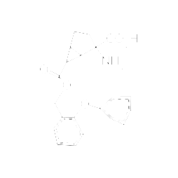 NC1(C(=O)O)CCC2C(C(=O)OCc3ccccc3Oc3ccccc3)C21